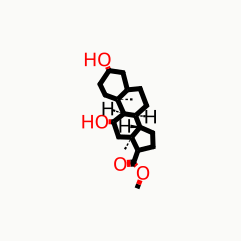 COC(=O)C1CC[C@H]2[C@@H]3CCC4CC(O)CC[C@]4(C)[C@@H]3C(O)C[C@]12C